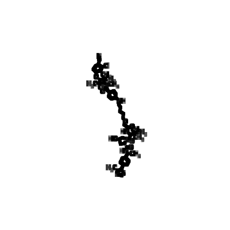 Cc1ncsc1-c1ccc([C@H](C)NC(=O)[C@@H]2C[C@@H](O)CN2C(=O)C(NC(=O)COCCCCCNc2ccc(C(=O)N(C)[C@H]3C(C)(C)[C@H](Oc4ccc(C#N)c(Cl)c4)C3(C)C)cc2)C(C)(C)C)cc1